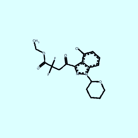 CCOC(=O)C(F)(F)CC(=O)c1nn(C2CCCCO2)c2cccc(Cl)c12